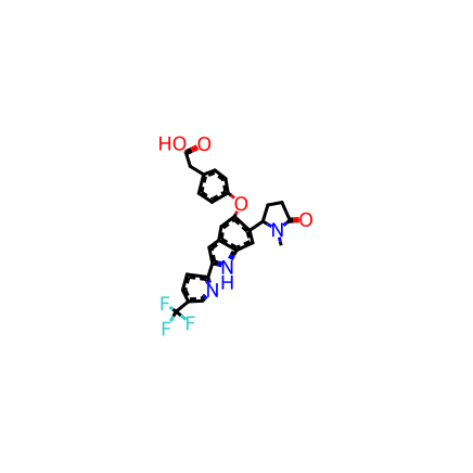 CN1C(=O)CCC1c1cc2[nH]c(-c3ccc(C(F)(F)F)cn3)cc2cc1Oc1ccc(CC(=O)O)cc1